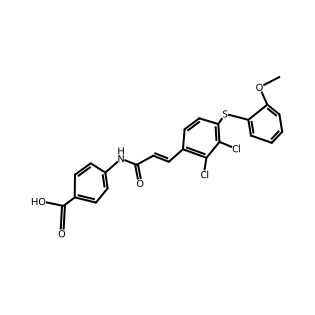 COc1ccccc1Sc1ccc(C=CC(=O)Nc2ccc(C(=O)O)cc2)c(Cl)c1Cl